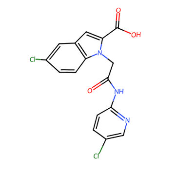 O=C(Cn1c(C(=O)O)cc2cc(Cl)ccc21)Nc1ccc(Cl)cn1